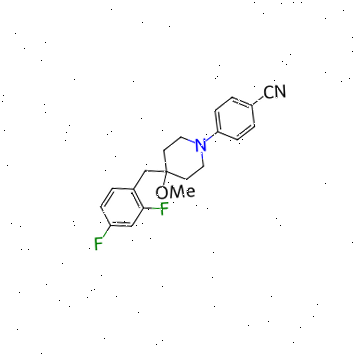 COC1(Cc2ccc(F)cc2F)CCN(c2ccc(C#N)cc2)CC1